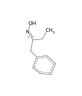 CC/C(Cc1ccccc1)=N\O